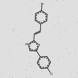 Clc1ccc(-c2c[nH]c(C=Cc3ccc(Br)cc3)n2)cc1